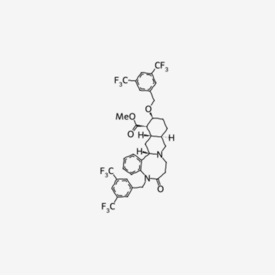 COC(=O)[C@@H]1[C@H]2C[C@H]3c4ccccc4N(Cc4cc(C(F)(F)F)cc(C(F)(F)F)c4)C(=O)CCN3C[C@@H]2CC[C@@H]1OCc1cc(C(F)(F)F)cc(C(F)(F)F)c1